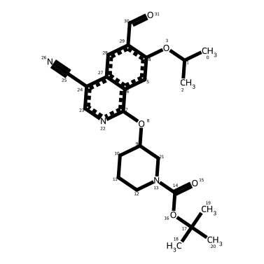 CC(C)Oc1cc2c(OC3CCCN(C(=O)OC(C)(C)C)C3)ncc(C#N)c2cc1C=O